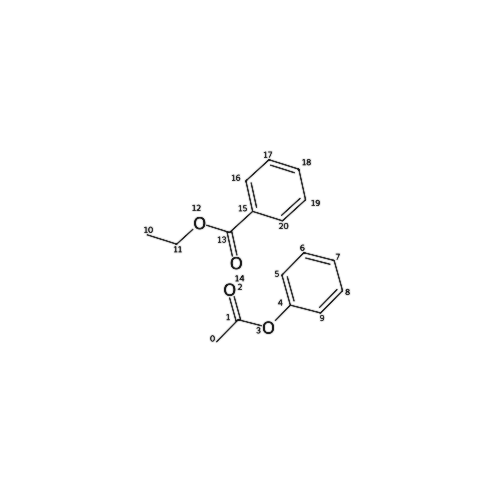 CC(=O)Oc1ccccc1.CCOC(=O)c1ccccc1